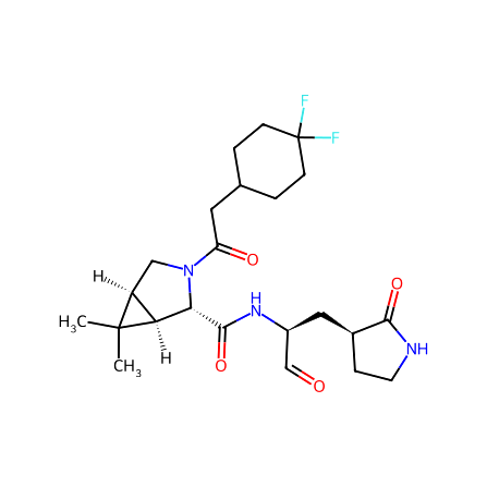 CC1(C)[C@@H]2[C@@H](C(=O)N[C@H](C=O)C[C@@H]3CCNC3=O)N(C(=O)CC3CCC(F)(F)CC3)C[C@@H]21